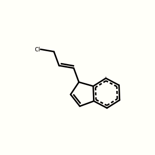 ClCC=CC1C=Cc2ccc[c]c21